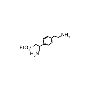 CCOC(=O)CC(CN)c1ccc(CCN)cc1